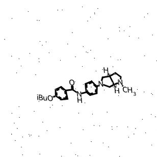 CC(C)COc1ccc(C(=O)Nc2ccc(N3C[C@@H]4CCN(C)[C@@H]4C3)cc2)cc1